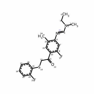 CCN(C)/C=N/c1cc(F)c(C(=O)CSc2ccccc2F)cc1C